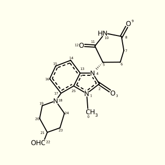 Cn1c(=O)n([C@H]2CCC(=O)NC2=O)c2cccc(N3CCC(C=O)CC3)c21